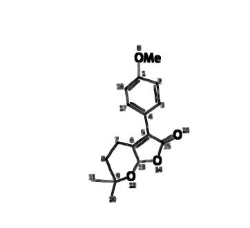 COc1ccc(C2=C3CCC(C)(C)OC3OC2=O)cc1